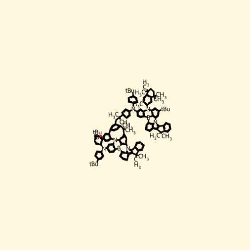 Cc1cc2c(cc1N1c3cc(N(c4ccc(C(C)(C)C)cc4)c4ccc(C(C)(C)Cc5cc6ccc5C(C)(C)c5cc7c8c(c5)-n5c9c(c%10cccc(c%105)B8c5ccc(N(c8ccc(C(C)(C)C)cc8)c8ccc(C(C)(C)C)cc8)cc5N7c5ccc(C(C)(C)C)cc5-6)C(C)(C)c5ccccc5-9)cc4)ccc3B3c4c1cc(C(C)(C)C)cc4-n1c4c(c5cccc3c51)C(C)(C)c1ccccc1-4)C(C)(C)CCC2(C)C